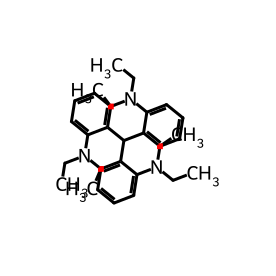 CCN(CC)c1ccccc1C(c1ccccc1N(CC)CC)c1ccccc1N(CC)CC